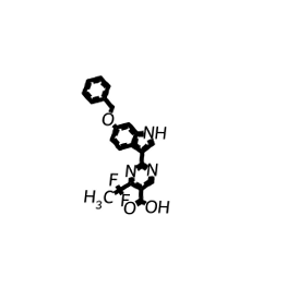 CC(F)(F)c1nc(-c2c[nH]c3cc(OCc4ccccc4)ccc23)ncc1C(=O)O